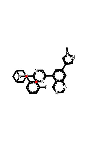 Cn1cc(-c2cc(-c3cnc(N4CC5CC(C4)N5Cc4cccc(F)c4)cn3)c3cncnc3c2)cn1